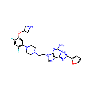 Nc1nc2c(ncn2CCN2CCN(c3cc(OC4CNC4)c(F)cc3F)CC2)c2nc(-c3ccco3)nn12